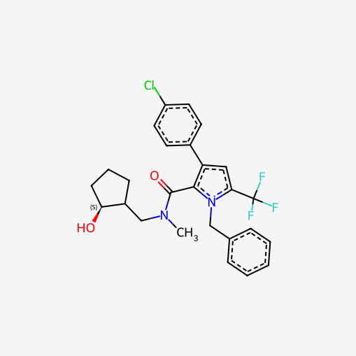 CN(CC1CCC[C@@H]1O)C(=O)c1c(-c2ccc(Cl)cc2)cc(C(F)(F)F)n1Cc1ccccc1